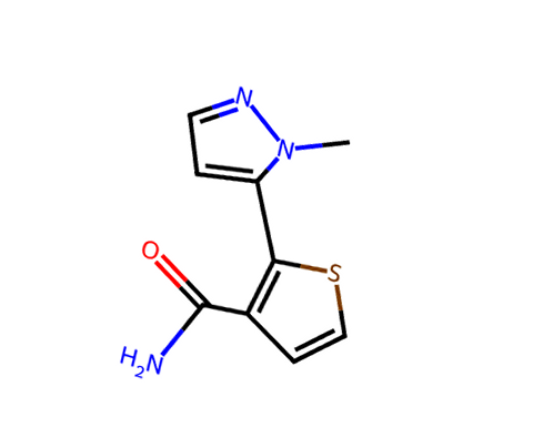 Cn1nccc1-c1sccc1C(N)=O